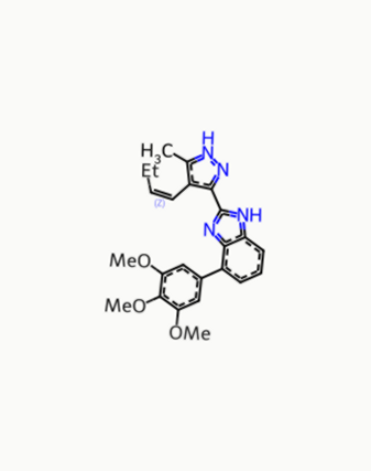 CC/C=C\c1c(-c2nc3c(-c4cc(OC)c(OC)c(OC)c4)cccc3[nH]2)n[nH]c1C